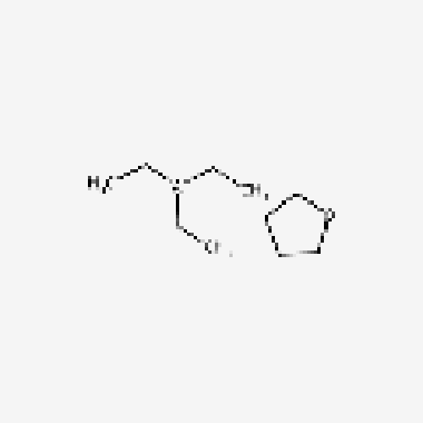 C1CCOC1.C[CH2][Al]([CH2]C)[CH2]C